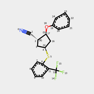 N#C[C@H]1C[C@H](Sc2ccccc2C(F)(F)F)C[C@@H]1Oc1ccccc1